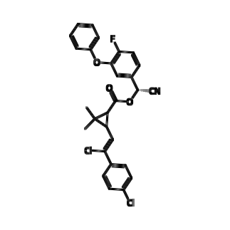 CC1(C)C(/C=C(\Cl)c2ccc(Cl)cc2)C1C(=O)O[C@@H](C#N)c1ccc(F)c(Oc2ccccc2)c1